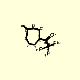 CC1CCCC(C(=O)C(F)(F)F)CC1